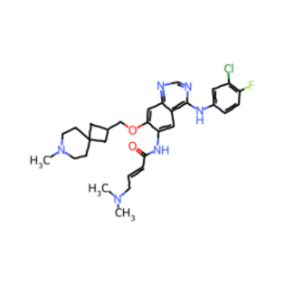 CN(C)C/C=C/C(=O)Nc1cc2c(Nc3ccc(F)c(Cl)c3)ncnc2cc1OCC1CC2(CCN(C)CC2)C1